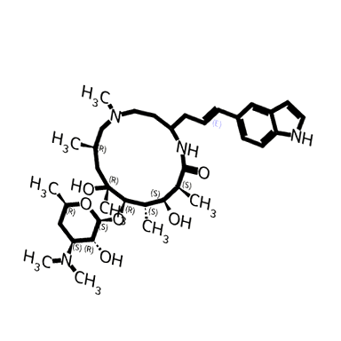 C[C@H]1CN(C)CCC(C/C=C/c2ccc3[nH]ccc3c2)NC(=O)[C@@H](C)[C@@H](O)[C@H](C)[C@@H](O[C@@H]2O[C@H](C)C[C@H](N(C)C)[C@H]2O)[C@](C)(O)C1